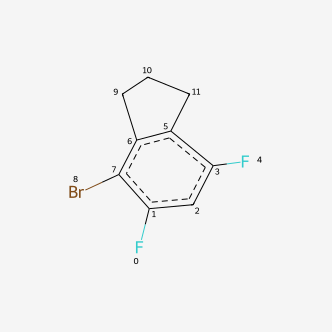 Fc1cc(F)c2c(c1Br)CCC2